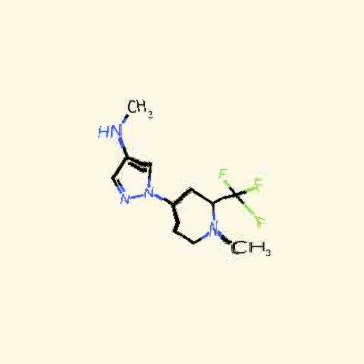 CNc1cnn(C2CCN(C)C(C(F)(F)F)C2)c1